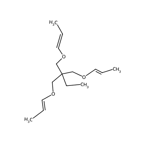 CC=COCC(CC)(COC=CC)COC=CC